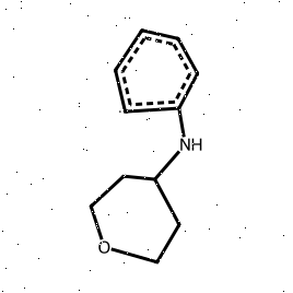 [c]1ccccc1NC1CCOCC1